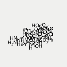 CC(C)C[C@H](NC(=O)[C@H](CO)NC(=O)[C@@H](NC(=O)[C@H](CCCNC(=N)N)NC(=O)[C@H](CC(C)C)NC(=O)[C@@H]1CCCN1C(=O)[C@@H](NC(=O)[C@H](C)NC(=O)[C@@H]1CCCN1C(=O)[C@@H](N)CC(C)C)[C@@H](C)O)C(C)C)C(=O)O